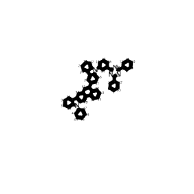 c1ccc(-c2nc(-c3ccccc3)nc(-c3cccc(-n4c5ccccc5c5cc(-c6cc7cc8c9ccccc9n(-c9ccccc9)c8cc7c7ccccc67)ccc54)c3)n2)cc1